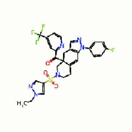 CCn1cc(S(=O)(=O)N2CCC3=Cc4c(cnn4-c4ccc(F)cc4)CC3(C(=O)c3cc(C(F)(F)F)ccn3)C2)cn1